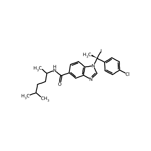 CC(C)CCC(C)NC(=O)c1ccc2c(c1)ncn2[C@](C)(I)c1ccc(Cl)cc1